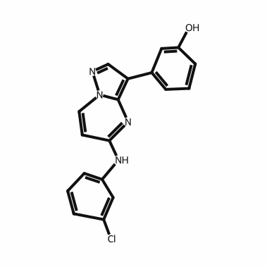 Oc1cccc(-c2cnn3ccc(Nc4cccc(Cl)c4)nc23)c1